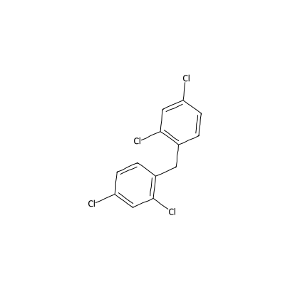 Clc1ccc(Cc2ccc(Cl)cc2Cl)c(Cl)c1